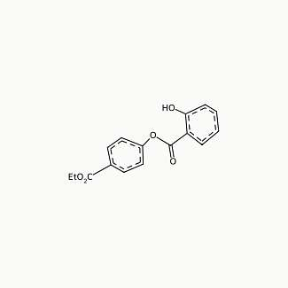 CCOC(=O)c1ccc(OC(=O)c2ccccc2O)cc1